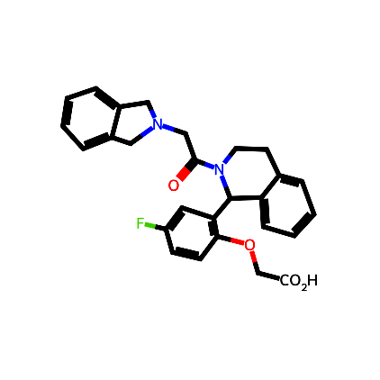 O=C(O)COc1ccc(F)cc1C1c2ccccc2CCN1C(=O)CN1Cc2ccccc2C1